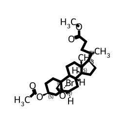 COC(=O)CC[C@@H](C)[C@H]1CC[C@H]2[C@@H]3C[C@H]4OC[C@@]5(CC[C@H](OC(C)=O)C[C@]45Br)C3CC[C@]12C